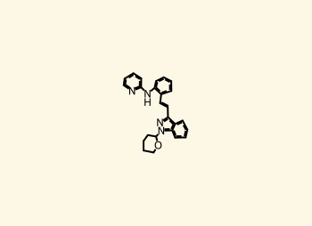 C(=Cc1nn(C2CCCCO2)c2ccccc12)c1ccccc1Nc1ccccn1